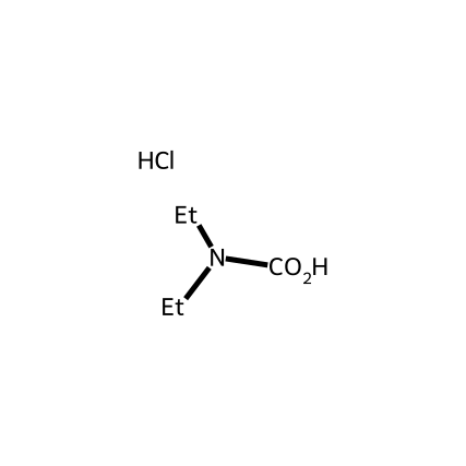 CCN(CC)C(=O)O.Cl